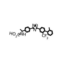 Cc1ccccc1-c1ccc(-c2nc(-c3ccc(C(C)NC(=O)O)cc3)no2)cc1C(F)(F)F